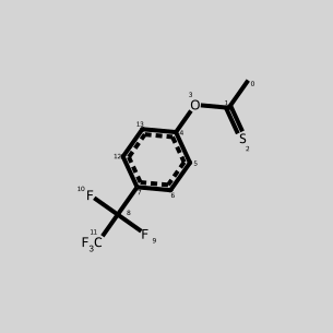 CC(=S)Oc1ccc(C(F)(F)C(F)(F)F)cc1